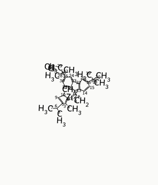 [CH2]=[Zr+2]([C]1=C(C)C(C(C)C)=CC1C)[CH]1c2ccc(C(C)(C)C)cc2-c2cc(C(C)(C)C)ccc21.[Cl-].[Cl-]